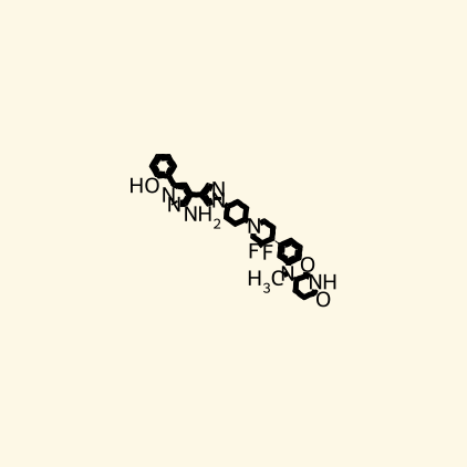 CN(c1cccc([C@H]2CCN(C3CCC(n4cc(-c5cc(-c6ccccc6O)nnc5N)cn4)CC3)CC2(F)F)c1)[C@@H]1CCC(=O)NC1=O